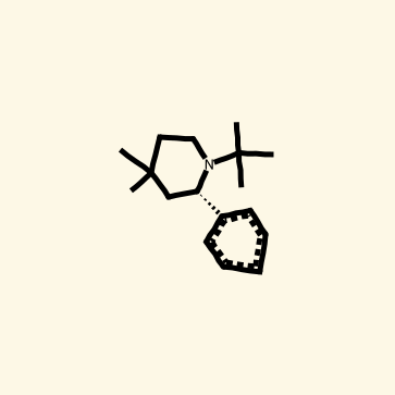 CC1(C)CCN(C(C)(C)C)[C@H](c2ccccc2)C1